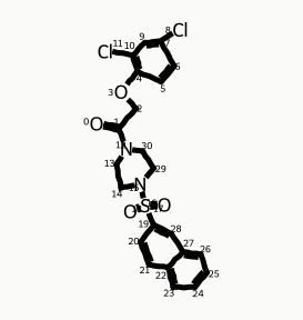 O=C(COc1ccc(Cl)cc1Cl)N1CCN(S(=O)(=O)c2ccc3ccccc3c2)CC1